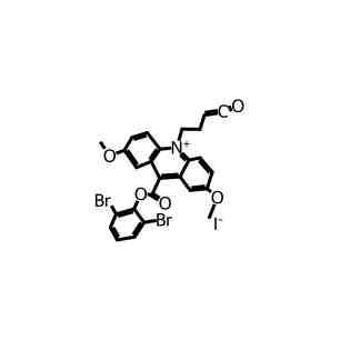 COc1ccc2c(c1)c(C(=O)Oc1c(Br)cccc1Br)c1cc(OC)ccc1[n+]2CCC=C=O.[I-]